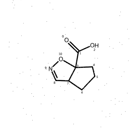 O=C(O)C12CCCC1C=NO2